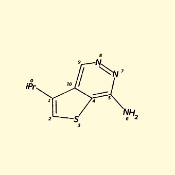 CC(C)c1csc2c(N)nncc12